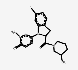 CC1CCCN(C(=O)C2Cc3ccc(F)cc3N2c2ccc(=O)n(C)n2)C1